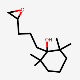 CC1(C)CCCC(C)(C)C1(O)CCCC1CO1